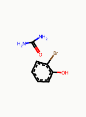 NC(N)=O.Oc1ccccc1Br